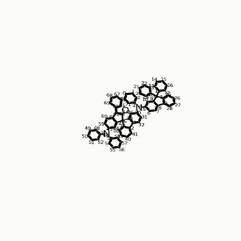 c1ccc(N(c2ccc3c(c2)C(c2ccccc2)(c2ccccc2)c2ccccc2-3)c2ccc3c(c2)[C@@]2(c4ccccc4-3)c3cc(N(c4ccccc4)c4ccccc4)ccc3-c3c2oc2ccccc32)cc1